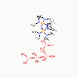 CN(C)P(=N[PH](N(C)C)(N(C)C)N(C)C)(N(C)C)N(C)C.OB(O)O.OB(O)O.OB(O)O.OB(O)O